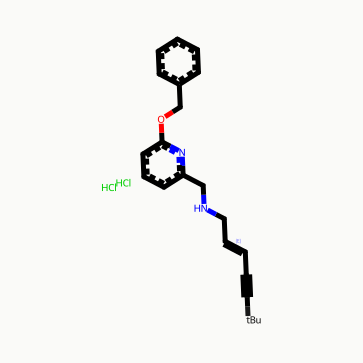 CC(C)(C)C#C/C=C/CNCc1cccc(OCc2ccccc2)n1.Cl.Cl